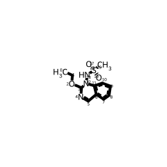 CCOC1N=Cc2ccccc2N1NS(C)(=O)=O